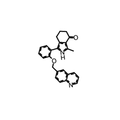 Cc1[nH]c(-c2ccccc2OCc2ccc3ncccc3c2)c2c1C(=O)CCC2